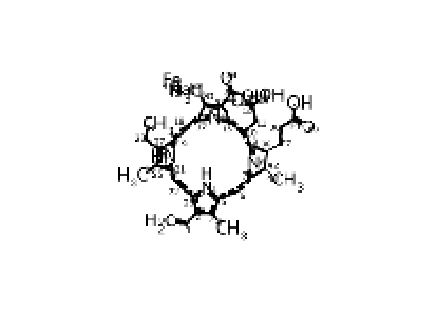 C=Cc1c(C)c2cc3nc(c(CC(=O)O)c4nc(cc5[nH]c(cc1[nH]2)c(C)c5CC)C(C)=C4C(=O)O)[C@@H](CCC(=O)O)[C@@H]3C.[Fe].[NaH]